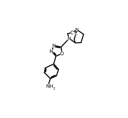 Nc1ccc(-c2nnc(N3CCN4CCC3CC4)o2)cc1